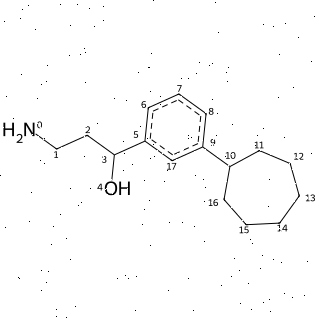 NCCC(O)c1cccc(C2CCCCCC2)c1